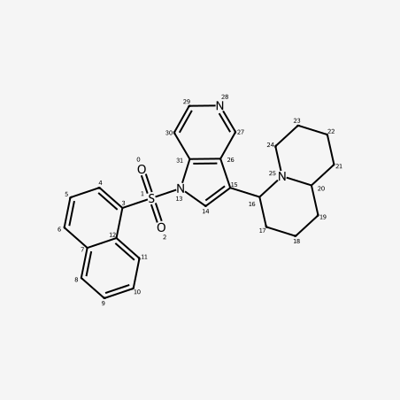 O=S(=O)(c1cccc2ccccc12)n1cc(C2CCCC3CCCCN32)c2cnccc21